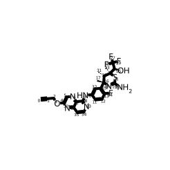 C#CCOc1cnc2c(Nc3ccc(F)c([C@@]4(C)N=C(N)S[C@](C)([C@H](O)C(F)(F)F)[C@H]4C)c3)nccc2n1